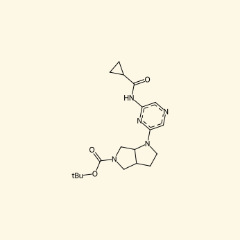 CC(C)(C)OC(=O)N1CC2CCN(c3cncc(NC(=O)C4CC4)n3)C2C1